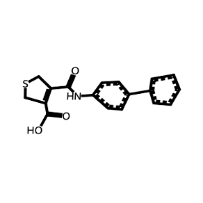 O=C(O)C1=C(C(=O)Nc2ccc(-c3ccccc3)cc2)CSC1